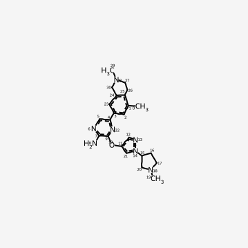 Cc1cc(-c2cnc(N)c(Oc3cnn(C4CCN(C)C4)c3)n2)cc2c1CCN(C)C2